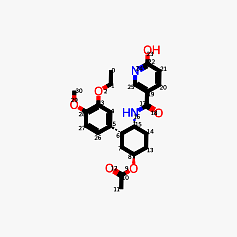 CCOc1cc([C@H]2C[C@H](OC(C)=O)CC[C@H]2NC(=O)c2ccc(O)nc2)ccc1OC